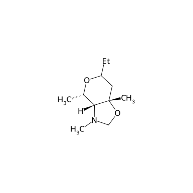 CCC1C[C@]2(C)OCN(C)[C@@H]2[C@H](C)O1